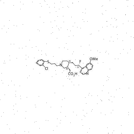 COc1ccc2nccc([C@@H](F)CC[C@@H]3CCN(CCCSc4ccccc4Cl)C[C@@H]3CC(=O)O)c2c1